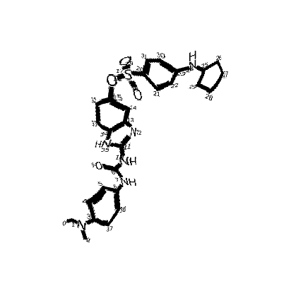 CN(C)c1ccc(NC(=O)Nc2nc3cc(OS(=O)(=O)c4ccc(NC5CCCC5)cc4)ccc3[nH]2)cc1